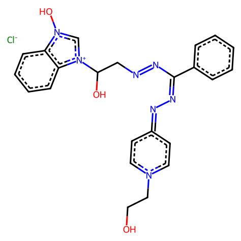 OCCn1ccc(=NN=C(N=NCC(O)[n+]2cn(O)c3ccccc32)c2ccccc2)cc1.[Cl-]